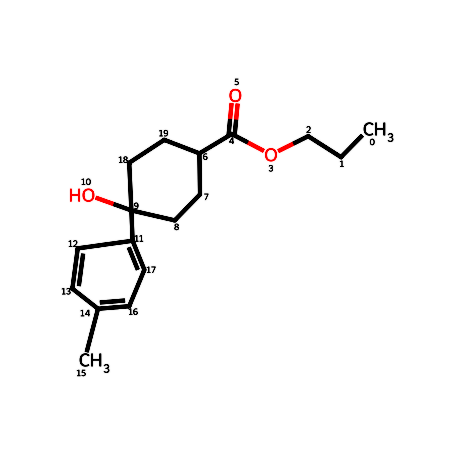 CCCOC(=O)C1CCC(O)(c2ccc(C)cc2)CC1